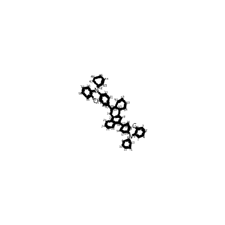 Cc1ccccc1N(c1ccccc1)c1ccc(-c2cc3c(c4ccccc24)C=C(c2ccc(N(c4ccccc4C)C4C=CC=CC4)cc2)C2C=CC=CC32)cc1